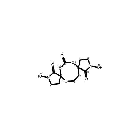 O=C1OC2(CCOC3(CCN(O)C3=O)O1)CCN(O)C2=O